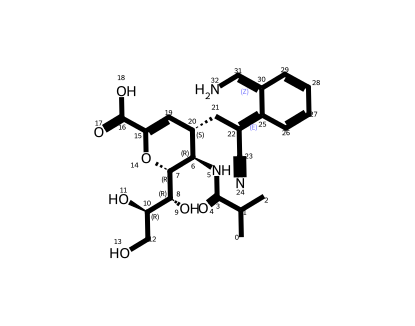 CC(C)C(=O)N[C@H]1[C@H]([C@H](O)[C@H](O)CO)OC(C(=O)O)=C[C@@H]1C/C(C#N)=c1/cccc/c1=C/N